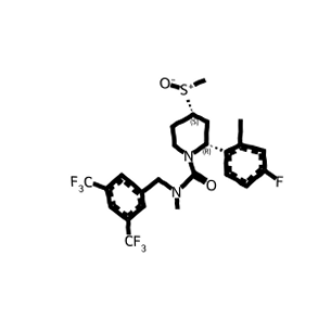 Cc1cc(F)ccc1[C@H]1C[C@@H]([S+](C)[O-])CCN1C(=O)N(C)Cc1cc(C(F)(F)F)cc(C(F)(F)F)c1